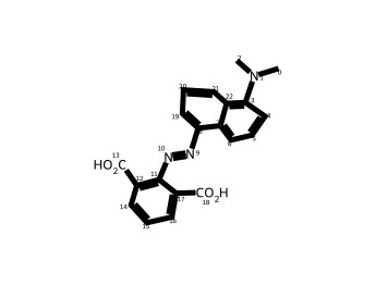 CN(C)c1cccc2c(N=Nc3c(C(=O)O)cccc3C(=O)O)cccc12